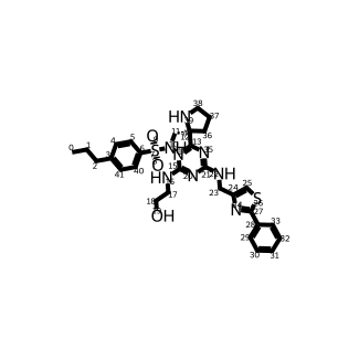 CCCc1ccc(S(=O)(=O)NC[C@@]2(c3nc(NCCO)nc(NCc4csc(-c5ccccc5)n4)n3)CCCN2)cc1